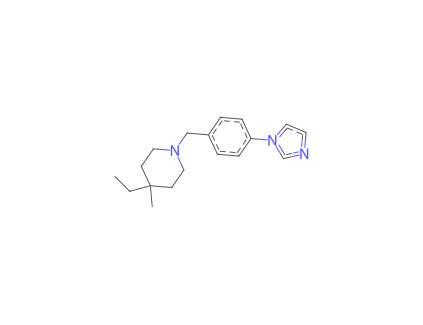 CCC1(C)CCN(Cc2ccc(-n3ccnc3)cc2)CC1